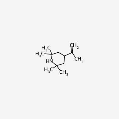 C=C(C)C1CC(C)(C)NC(C)(C)C1